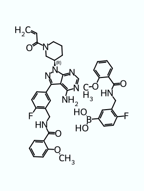 C=CC(=O)N1CCC[C@@H](n2nc(-c3ccc(F)c(CNC(=O)c4ccccc4OC)c3)c3c(N)ncnc32)C1.COc1ccccc1C(=O)NCc1cc(B(O)O)ccc1F